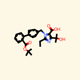 CCc1nc(C(C)(C)O)c(C(=O)O)n1Cc1ccc(-c2ccccc2C(=O)OC(C)(C)C)cc1